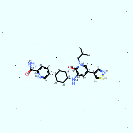 CC(C)Cn1cc(-c2cnsc2)cc(N[C@H]2CC[C@@H](c3ccc(C(N)=O)nc3)CC2)c1=O